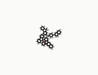 CC1(C)c2ccccc2-c2ccc(N(c3ccc(-c4ccc5ccccc5c4)cc3)c3cc(C4(c5ccccc5)c5ccccc5-c5ccccc54)c4sc5cc6ccccc6cc5c4c3)cc21